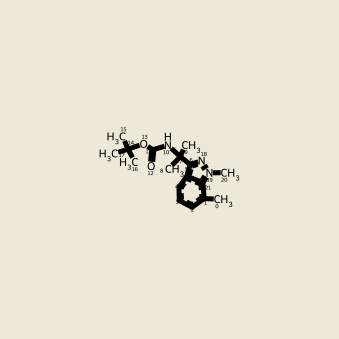 Cc1cccc2c(C(C)(C)NC(=O)OC(C)(C)C)nn(C)c12